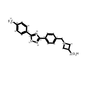 O=C(O)C1CN(Cc2ccc(-c3noc(-c4ccc(C(F)(F)F)cc4)n3)cc2)C1